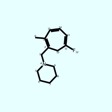 CC1=C(CN2CCCCC2)CC(F)=CC=C1